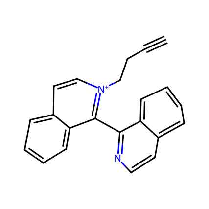 C#CCC[n+]1ccc2ccccc2c1-c1nccc2ccccc12